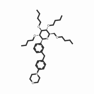 CCCCOC[C@H]1S[C@@H](c2cccc(Cc3ccc(N4CCOCC4)cc3)c2)[C@H](OCCCC)[C@@H](OCCCC)[C@@H]1OCCCC